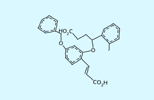 Cc1ccccc1C(CCC(=O)O)Oc1cc(OCc2ccccc2)ccc1C=CC(=O)O